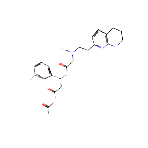 CCCN(CCc1ccc2c(n1)NCCC2)CC(=O)N[C@@H](CC(=O)OC(=O)C(F)(F)F)c1cccc(F)c1